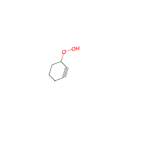 OOC1C#CCCC1